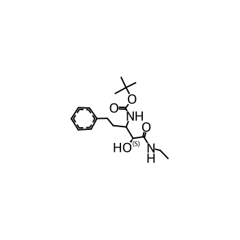 CCNC(=O)[C@@H](O)C(CCc1ccccc1)NC(=O)OC(C)(C)C